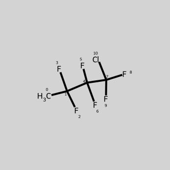 CC(F)(F)C(F)(F)C(F)(F)Cl